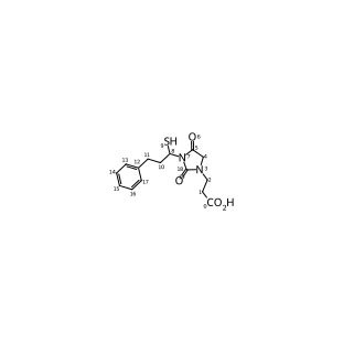 O=C(O)CCN1CC(=O)N(C(S)CCc2ccccc2)C1=O